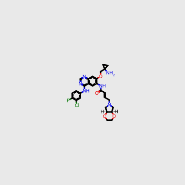 NC1(COc2cc3ncnc(Nc4ccc(F)c(Cl)c4)c3cc2NC(=O)/C=C/CN2C[C@@H]3OCCO[C@@H]3C2)CC1